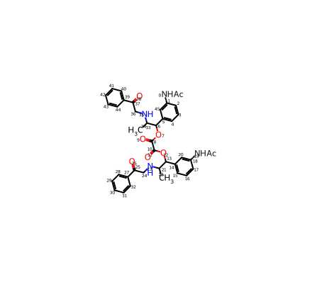 CC(=O)Nc1cccc(C(OC(=O)C(=O)OC(c2cccc(NC(C)=O)c2)C(C)NCC(=O)c2ccccc2)C(C)NCC(=O)c2ccccc2)c1